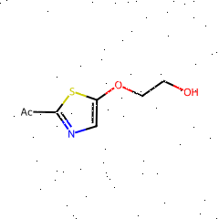 CC(=O)c1ncc(OCCO)s1